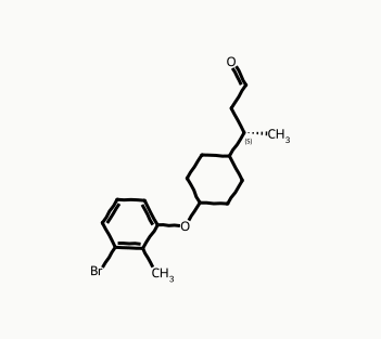 Cc1c(Br)cccc1OC1CCC([C@@H](C)CC=O)CC1